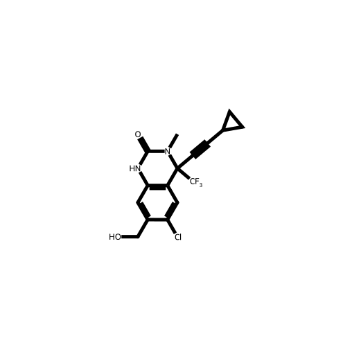 CN1C(=O)Nc2cc(CO)c(Cl)cc2C1(C#CC1CC1)C(F)(F)F